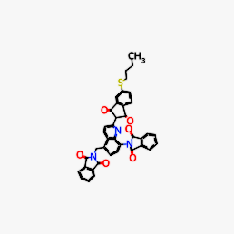 CCCCSc1ccc2c(c1)C(=O)C(c1ccc3c(CN4C(=O)c5ccccc5C4=O)ccc(N4C(=O)c5ccccc5C4=O)c3n1)C2=O